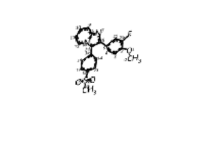 COc1ccc(-c2nc3ccccn3c2-c2ccc(S(C)(=O)=O)cc2)cc1F